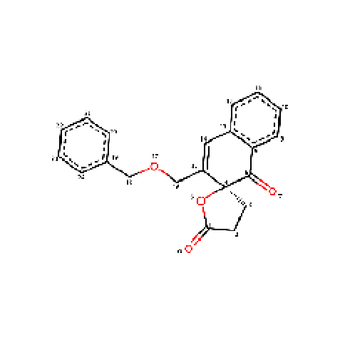 O=C1CC[C@@]2(O1)C(=O)c1ccccc1C=C2COCc1ccccc1